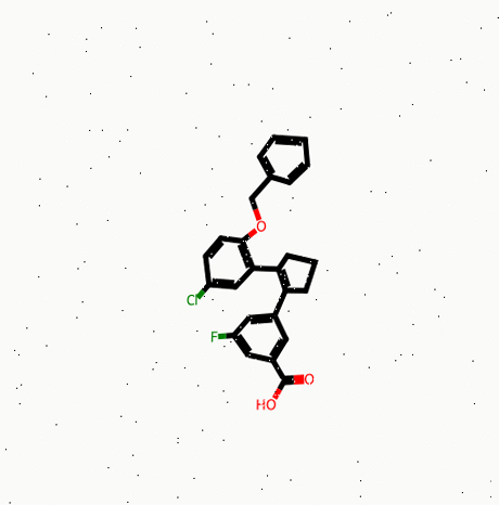 O=C(O)c1cc(F)cc(C2=C(c3cc(Cl)ccc3OCc3ccccc3)CCC2)c1